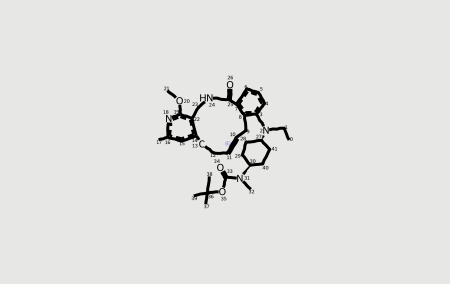 CCN(c1cccc2c1C/C=C/CCc1cc(C)nc(OC)c1CNC2=O)[C@H]1CC[C@H](N(C)C(=O)OC(C)(C)C)CC1